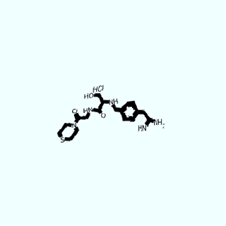 Cl.N=C(N)Cc1ccc(CNC(CO)C(=O)NCC(=O)N2CCSCC2)cc1